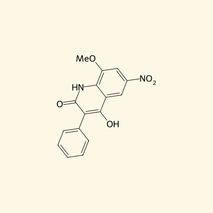 COc1cc([N+](=O)[O-])cc2c(O)c(-c3ccccc3)c(=O)[nH]c12